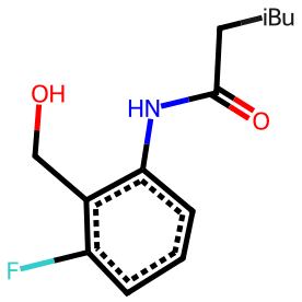 CCC(C)CC(=O)Nc1cccc(F)c1CO